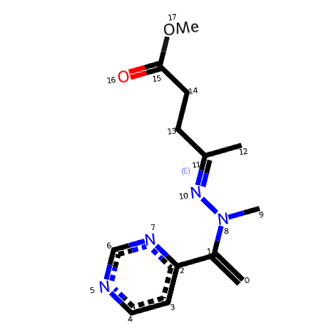 C=C(c1ccncn1)N(C)/N=C(\C)CCC(=O)OC